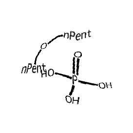 CCCCCOCCCCC.O=P(O)(O)O